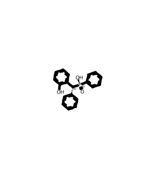 O=[P@@](O)(c1ccccc1)[C@H](c1ccccc1)c1ccccc1O